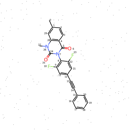 Cc1ccc2c(=O)n(-c3c(F)cc(C#Cc4ccccc4)cc3F)c(=O)n(C)c2c1